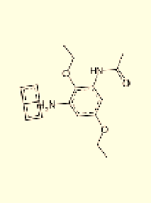 CCOc1cc(N)c(OCC)c(NC(C)=O)c1.c1cc2ccc1-2